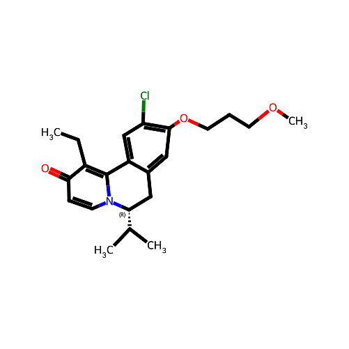 CCc1c2n(ccc1=O)[C@@H](C(C)C)Cc1cc(OCCCOC)c(Cl)cc1-2